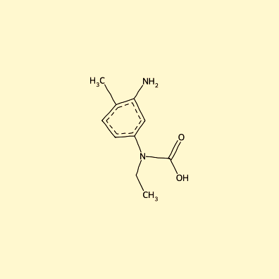 CCN(C(=O)O)c1ccc(C)c(N)c1